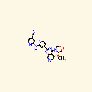 COc1cncc2nc(-c3ccnc(Nc4cc(C#N)ccn4)c3)nc(N3CCOCC3)c12